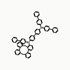 c1ccc(-c2ccc(N(c3ccc(-c4ccccc4)cc3)c3ccc(-c4ccc(N(c5ccc(-c6ccccc6)cc5)c5cccc6c5Cc5ccccc5-c5ccccc5Cc5ccccc5-6)cc4)cc3)cc2)cc1